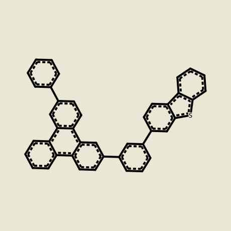 c1ccc(-c2ccc3c(c2)c2ccccc2c2ccc(-c4cccc(-c5ccc6c(c5)sc5ccccc56)c4)cc23)cc1